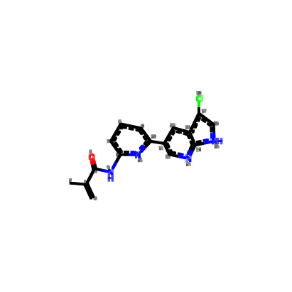 C=C(C)C(=O)Nc1cccc(-c2cnc3[nH]cc(Cl)c3c2)n1